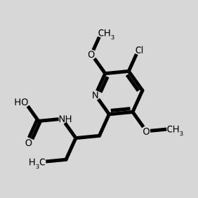 CCC(Cc1nc(OC)c(Cl)cc1OC)NC(=O)O